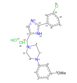 COc1cccc(N2CCN(Cc3cnc(-c4cccc(Cl)c4)[nH]3)CC2)c1.Cl.Cl